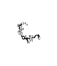 Cc1nnc(CNC(=O)OCC2CCc3c(sc(NC(=O)C=Cc4ccoc4)c3C#N)C2)o1